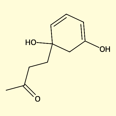 CC(=O)CCC1(O)C=CC=C(O)C1